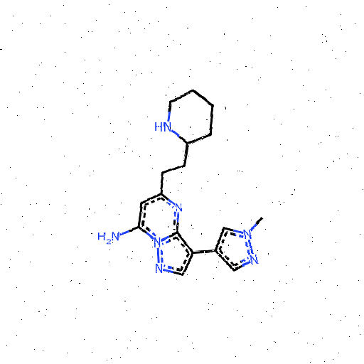 Cn1cc(-c2cnn3c(N)cc(CCC4CCCCN4)nc23)cn1